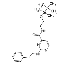 CC(C)(C)[Si](C)(C)OCCNC(=O)c1ccnc(NCCc2ccccc2)n1